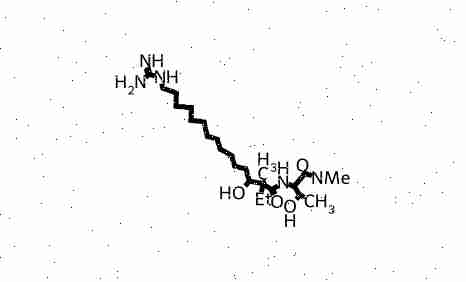 CCC(C)(C(=O)NC(C(=O)NC)C(C)O)C(O)CCCCCCCCCCCCNC(=N)N